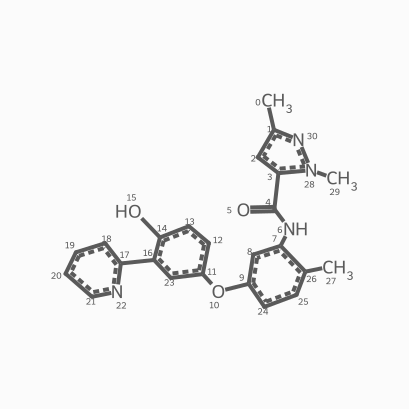 Cc1cc(C(=O)Nc2cc(Oc3ccc(O)c(-c4ccccn4)c3)ccc2C)n(C)n1